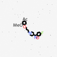 COc1cc(C(C)=O)ccc1OCCCCN1CCC(c2noc3cc(F)ccc23)CC1